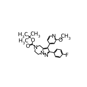 COc1cc(-c2c(-c3ccc(F)cc3)nn3c2CN(C(=O)OC(C)(C)C)CC3)ccn1